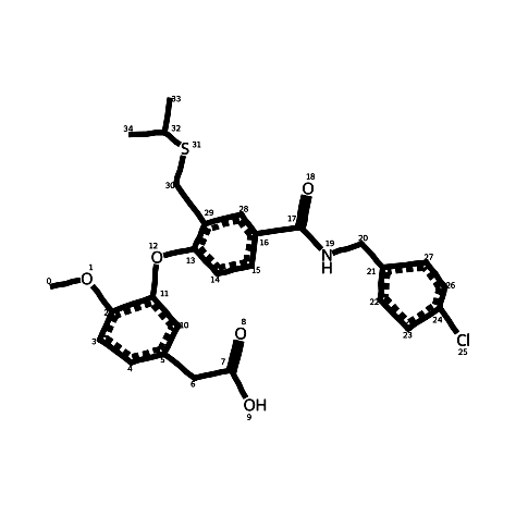 COc1ccc(CC(=O)O)cc1Oc1ccc(C(=O)NCc2ccc(Cl)cc2)cc1CSC(C)C